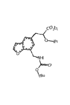 CCOC(=O)C(Cc1cc(CNC(=O)OC(C)(C)C)c2occc2c1)OC(C)C